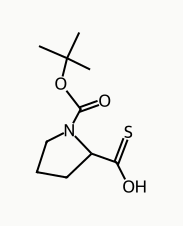 CC(C)(C)OC(=O)N1CCCC1C(O)=S